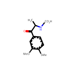 COc1cc(C(=O)C(C)NC(=O)O)ccc1SC